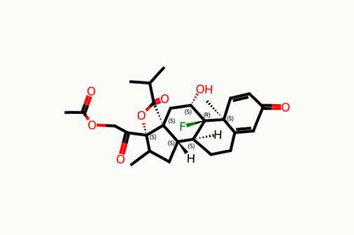 CC(=O)OCC(=O)[C@]1(OC(=O)C(C)C)C(C)C[C@H]2[C@@H]3CCC4=CC(=O)C=C[C@]4(C)[C@@]3(F)[C@@H](O)C[C@@]21C